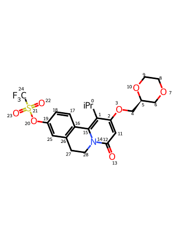 CC(C)c1c(OC[C@@H]2COCCO2)cc(=O)n2c1-c1ccc(OS(=O)(=O)C(F)(F)F)cc1CC2